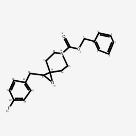 O=C(OCc1ccccc1)N1CCC2(CC1)OC2Cc1ccc(F)cc1